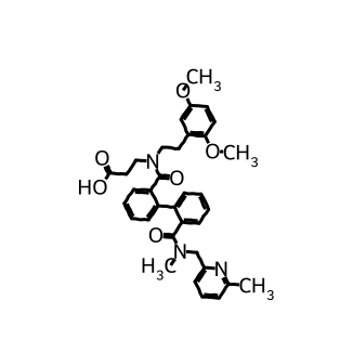 COc1ccc(OC)c(CCN(CCC(=O)O)C(=O)c2ccccc2-c2ccccc2C(=O)N(C)Cc2cccc(C)n2)c1